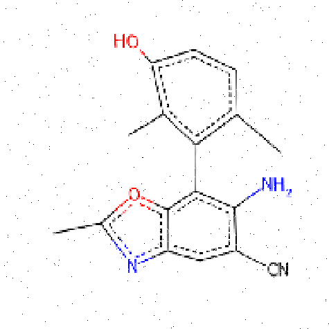 Cc1nc2cc(C#N)c(N)c(-c3c(C)ccc(O)c3C)c2o1